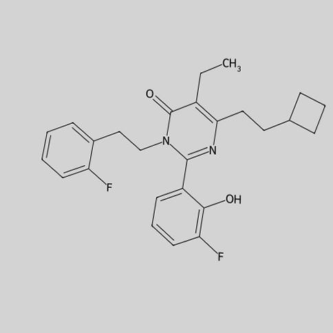 CCc1c(CCC2CCC2)nc(-c2cccc(F)c2O)n(CCc2ccccc2F)c1=O